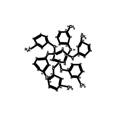 Cc1cccc(OP2(Oc3cccc(C)c3)=NP(Oc3cccc(C)c3)(Oc3cccc(C)c3)=NP(Oc3cccc(C)c3)(Oc3cccc(C)c3)=N2)c1